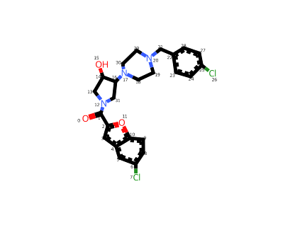 O=C(c1cc2cc(Cl)ccc2o1)N1CC(O)C(N2CCN(Cc3ccc(Cl)cc3)CC2)C1